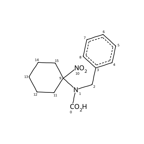 O=C(O)N(Cc1ccccc1)C1([N+](=O)[O-])CCCCC1